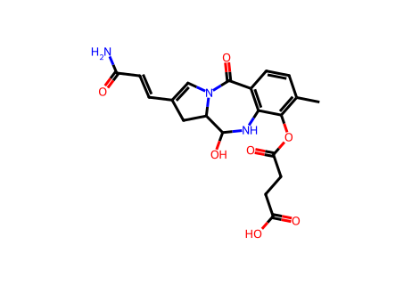 Cc1ccc2c(c1OC(=O)CCC(=O)O)NC(O)C1CC(C=CC(N)=O)=CN1C2=O